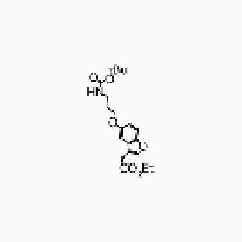 CCOC(=O)Cc1coc2ccc(OCCCNC(=O)OC(C)(C)C)cc12